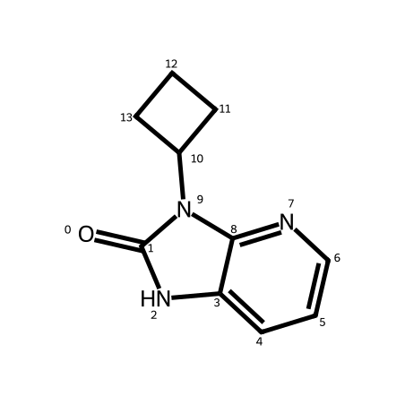 O=c1[nH]c2cccnc2n1C1CCC1